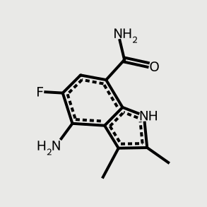 Cc1[nH]c2c(C(N)=O)cc(F)c(N)c2c1C